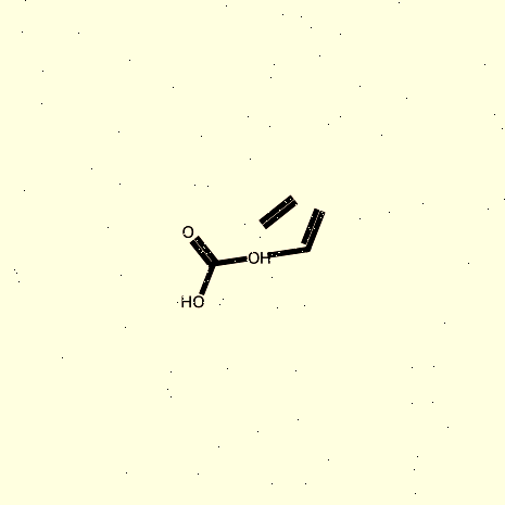 C=C.C=CC.O=C(O)O